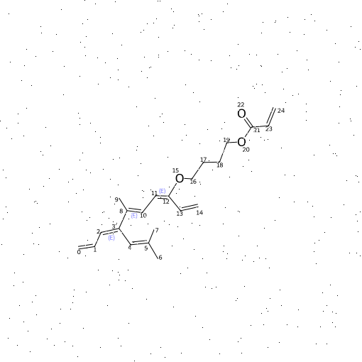 C=C/C=C(C=C(C)C)/C(C)=C/C=C(\C=C)OCCCCOC(=O)C=C